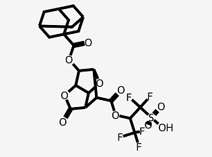 O=C1OC2C(OC(=O)C34CC5CC(CC(C5)C3)C4)C3OC2C1C3C(=O)OC(C(F)(F)F)C(F)(F)S(=O)(=O)O